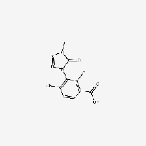 Cn1nnn(-c2c(Cl)ccc(C(=O)O)c2Cl)c1=O